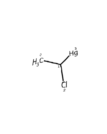 C[CH](Cl)[Hg]